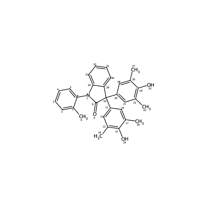 Cc1ccccc1N1C(=O)C(c2cc(C)c(O)c(C)c2)(c2cc(C)c(O)c(C)c2)c2ccccc21